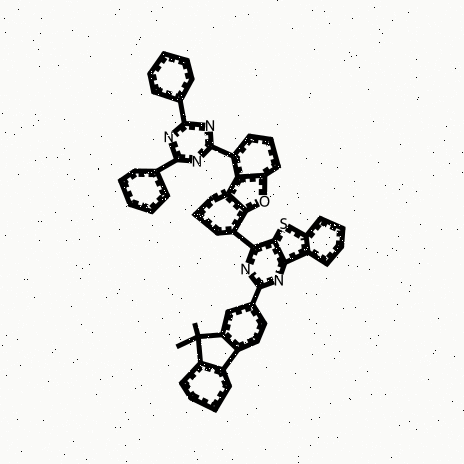 CC1(C)c2ccccc2-c2ccc(-c3nc(-c4cccc5c4oc4cccc(-c6nc(-c7ccccc7)nc(-c7ccccc7)n6)c45)c4sc5ccccc5c4n3)cc21